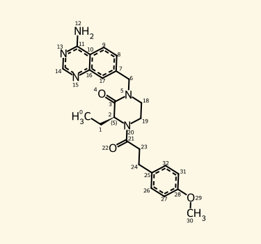 CC[C@H]1C(=O)N(Cc2ccc3c(N)ncnc3c2)CCN1C(=O)CCc1ccc(OC)cc1